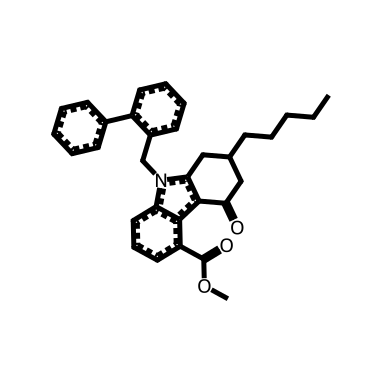 CCCCCC1CC(=O)c2c(n(Cc3ccccc3-c3ccccc3)c3cccc(C(=O)OC)c23)C1